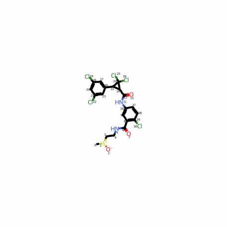 C[S+]([O-])CCNC(=O)c1cc(NC(=O)C2C(c3cc(Cl)cc(Cl)c3)C2(Cl)Cl)ccc1Cl